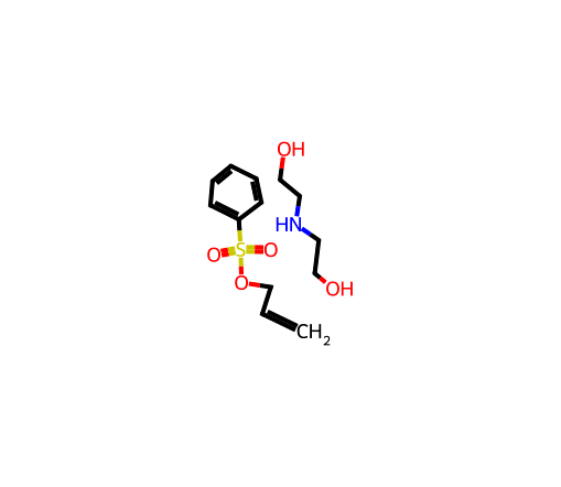 C=CCOS(=O)(=O)c1ccccc1.OCCNCCO